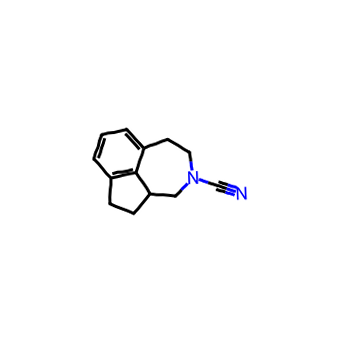 N#CN1CCc2cccc3c2C(CC3)C1